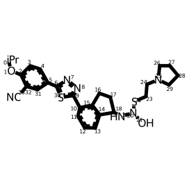 CC(C)Oc1ccc(-c2nnc(-c3cccc4c3CCC4NN(O)SCCN3CCCC3)s2)cc1C#N